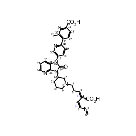 C=N/C=C\C(=C/CCN1CCCC(n2c(=O)n(-c3ccc(-c4ccc(C(=O)O)cc4C)nc3)c3cccnc32)C1)C(=O)O